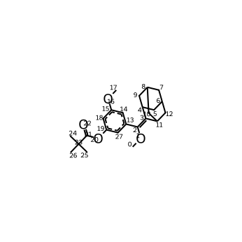 COC(=C1C2CC3CC(C2)CC1C3)c1cc(OC)cc(OC(=O)C(C)(C)C)c1